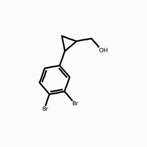 OCC1CC1c1ccc(Br)c(Br)c1